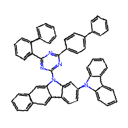 c1ccc(-c2ccc(-c3nc(-c4ccccc4-c4ccccc4)nc(-n4c5cc(-n6c7ccccc7c7ccccc76)ccc5c5cc6ccccc6cc54)n3)cc2)cc1